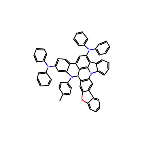 Cc1ccc(N2B3c4cc5oc6ccccc6c5cc4-n4c5ccccc5c5c(N(c6ccccc6)c6ccccc6)cc(c3c54)-c3ccc(N(c4ccccc4)c4ccccc4)cc32)cc1